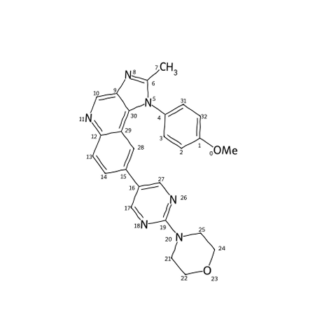 COc1ccc(-n2c(C)nc3cnc4ccc(-c5cnc(N6CCOCC6)nc5)cc4c32)cc1